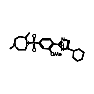 COc1cc(S(=O)(=O)N2CCN(C)CCC2C)ccc1-c1ncc(C2CCCCC2)[nH]1